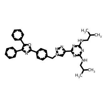 CC(C)CNc1nc(NCC(C)C)nc(-c2cn(Cc3ccc(-c4nc(-c5ccccc5)c(-c5ccccc5)o4)cc3)nn2)n1